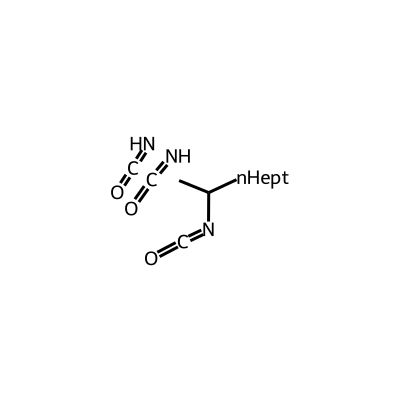 CCCCCCCC(C)N=C=O.N=C=O.N=C=O